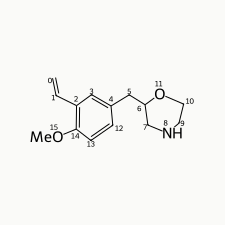 C=Cc1cc(CC2CNCCO2)ccc1OC